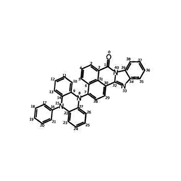 O=c1c2cccc3c(N4c5ccccc5N(c5ccccc5)c5ccccc54)ccc(c32)c2nc3ccccc3n12